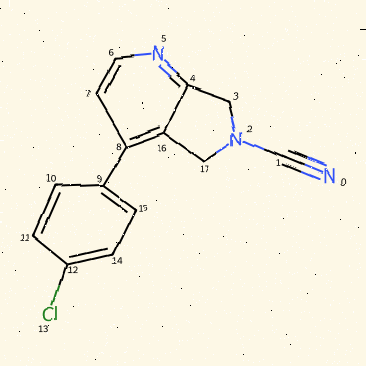 N#CN1Cc2nccc(-c3ccc(Cl)cc3)c2C1